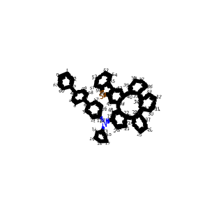 c1ccc(-c2ccc(-c3ccc(N(c4ccccc4)c4ccc5c6ccccc6c6ccccc6c6ccccc6c6cc7c(cc6c5c4)sc4ccccc47)cc3)cc2)cc1